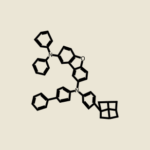 c1ccc(-c2ccc(N(c3ccc(C45CC6CC7CC(C4)C765)cc3)c3ccc4oc5ccc(N(c6ccccc6)c6ccccc6)cc5c4c3)cc2)cc1